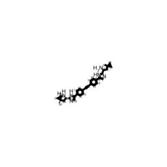 CC1(C[C@H](N)c2ncc(-c3ccc(C#Cc4ccc(-c5cnc([C@@H]6C[C@]7(C)C[C@@H]7N6)[nH]5)cc4)cc3)[nH]2)CC1